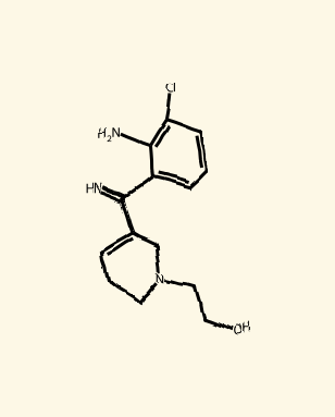 N=C(C1=CCCN(CCO)C1)c1cccc(Cl)c1N